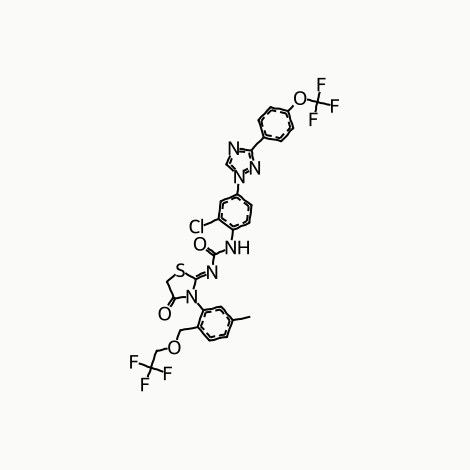 Cc1ccc(COCC(F)(F)F)c(N2C(=O)CSC2=NC(=O)Nc2ccc(-n3cnc(-c4ccc(OC(F)(F)F)cc4)n3)cc2Cl)c1